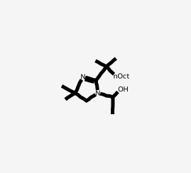 CCCCCCCCC(C)(C)C1=NC(C)(C)CN1C(C)O